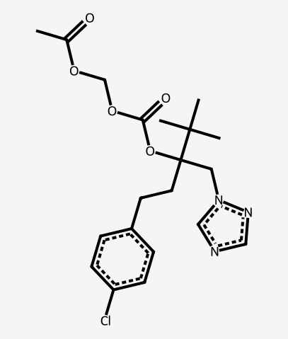 CC(=O)OCOC(=O)OC(CCc1ccc(Cl)cc1)(Cn1cncn1)C(C)(C)C